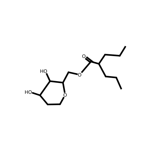 CCCC(CCC)C(=O)OCC1OCCC(O)C1O